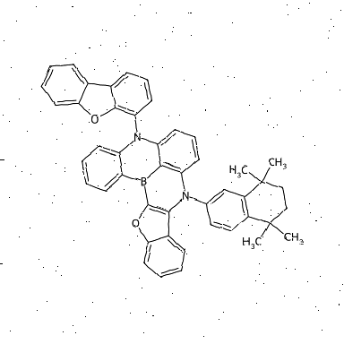 CC1(C)CCC(C)(C)c2cc(N3c4cccc5c4B(c4ccccc4N5c4cccc5c4oc4ccccc45)c4oc5ccccc5c43)ccc21